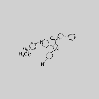 CS(=O)(=O)c1ccc(CN2CCC(c3c(C(=O)N4CC[C@H](c5ccccc5)C4)cnn3-c3ccc(C#N)cc3)CC2)cc1